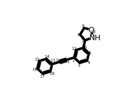 C(#Cc1cccc(C2CCON2)c1)c1ccccc1